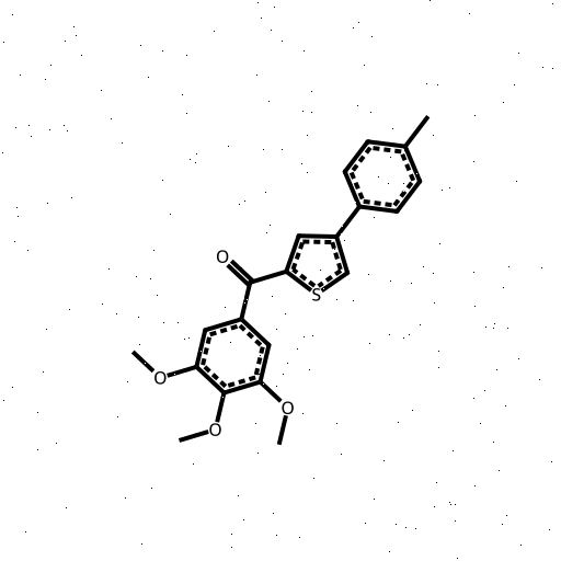 COc1cc(C(=O)c2cc(-c3ccc(C)cc3)cs2)cc(OC)c1OC